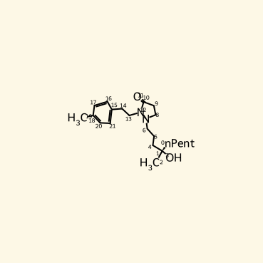 CCCCC[C@](C)(O)CCCN1CCC(=O)N1CCc1ccc(C)cc1